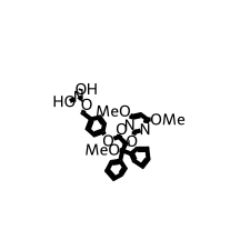 COc1cc(OC)nc(O[C@H](C(=O)Oc2ccc(CON(O)O)cc2)C(OC)(c2ccccc2)c2ccccc2)n1